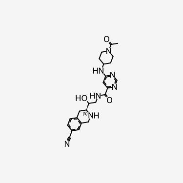 CC(=O)N1CCC(Nc2cc(C(=O)NCC(O)[C@@H]3Cc4ccc(C#N)cc4CN3)ncn2)CC1